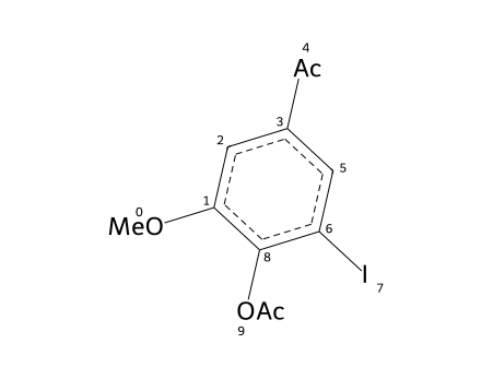 COc1cc(C(C)=O)cc(I)c1OC(C)=O